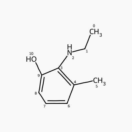 CCNc1c(C)cccc1O